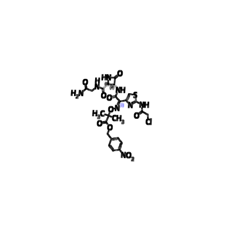 CC(C)(O/N=C(\C(=O)N[C@H]1C(=O)N[C@H]1C(=O)NCC(N)=O)c1csc(NC(=O)CCl)n1)C(=O)OCc1ccc([N+](=O)[O-])cc1